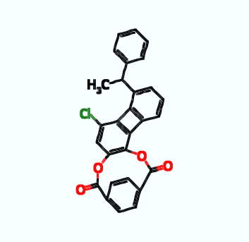 CC(c1ccccc1)c1cccc2c1-c1c(Cl)cc3oc(=O)c4ccc(cc4)c(=O)oc3c1-2